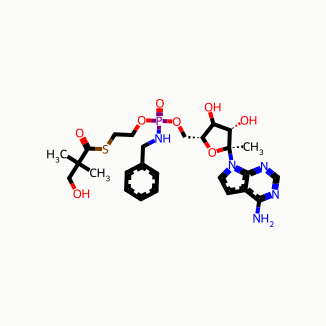 CC(C)(CO)C(=O)SCCOP(=O)(NCc1ccccc1)OC[C@H]1O[C@](C)(n2ccc3c(N)ncnc32)[C@@H](O)C1O